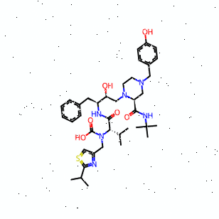 CC(C)c1nc(CN(C(=O)O)[C@H](C(=O)N[C@@H](Cc2ccccc2)[C@@H](O)CN2CCN(Cc3ccc(O)cc3)C[C@H]2C(=O)NC(C)(C)C)C(C)C)cs1